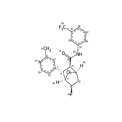 Cc1cc([C@H]2[C@H]3O[C@H](C[C@H]3F)[C@@H]2C(=O)Nc2cccc(C(F)(F)F)c2)ccn1